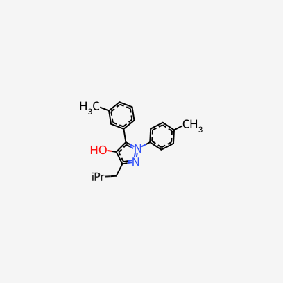 Cc1ccc(-n2nc(CC(C)C)c(O)c2-c2cccc(C)c2)cc1